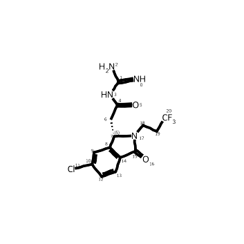 N=C(N)NC(=O)C[C@H]1c2cc(Cl)ccc2C(=O)N1CCC(F)(F)F